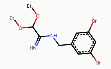 CCOC(OCC)C(=N)NCc1cc(Br)cc(Br)c1